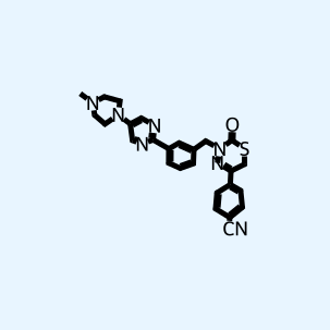 CN1CCN(c2cnc(-c3cccc(CN4N=C(c5ccc(C#N)cc5)CSC4=O)c3)nc2)CC1